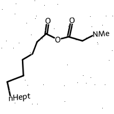 CCCCCCCCCCCCC(=O)OC(=O)CNC